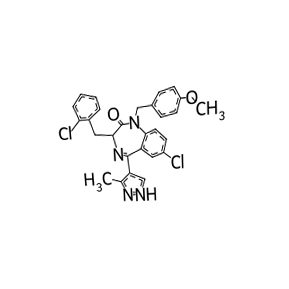 COc1ccc(CN2C(=O)C(Cc3ccccc3Cl)N=C(c3c[nH]nc3C)c3cc(Cl)ccc32)cc1